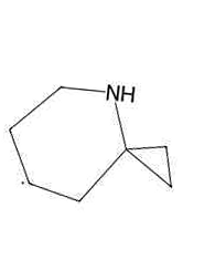 [CH]1CCNC2(C1)CC2